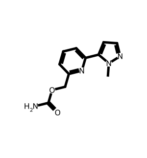 Cn1nccc1-c1cccc(COC(N)=O)n1